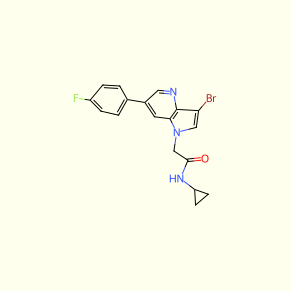 O=C(Cn1cc(Br)c2ncc(-c3ccc(F)cc3)cc21)NC1CC1